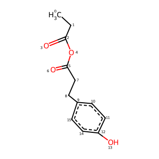 CCC(=O)OC(=O)CCc1ccc(O)cc1